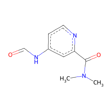 CN(C)C(=O)c1cc(NC=O)ccn1